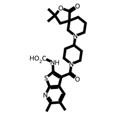 Cc1cc2c(C(=O)N3CCC(N4CCCC5(C4)CC(C)(C)OC5=O)CC3)c(NC(=O)O)sc2nc1C